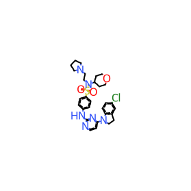 O=S(=O)(c1ccc(Nc2nccc(N3CCc4cc(Cl)ccc43)n2)cc1)N(CCN1CCCC1)C1CCOCC1